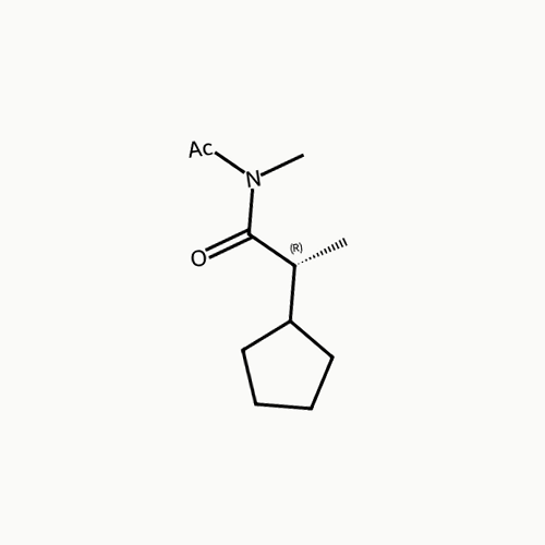 CC(=O)N(C)C(=O)[C@H](C)C1CCCC1